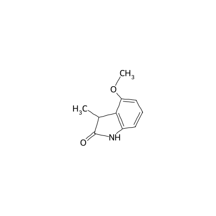 COc1cccc2c1C(C)C(=O)N2